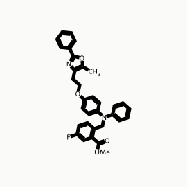 COC(=O)c1cc(F)ccc1CN(c1ccccc1)c1ccc(OCCc2nc(-c3ccccc3)oc2C)cc1